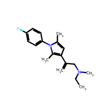 C=C(CN(C)CC)c1cc(C)n(-c2ccc(F)cc2)c1C